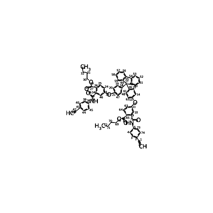 C#Cc1ccc(NC(=O)c2cc(Oc3ccc(C4(c5ccc(Oc6ccc(C(=O)OCCCC)c(C(=O)Nc7ccc(C#C)cc7)c6)cc5)c5ccccc5-c5ccccc54)cc3)ccc2C(=O)OCCCC)cc1